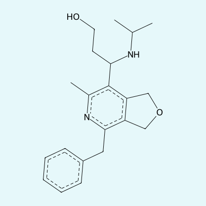 Cc1nc(Cc2ccccc2)c2c(c1C(CCO)NC(C)C)COC2